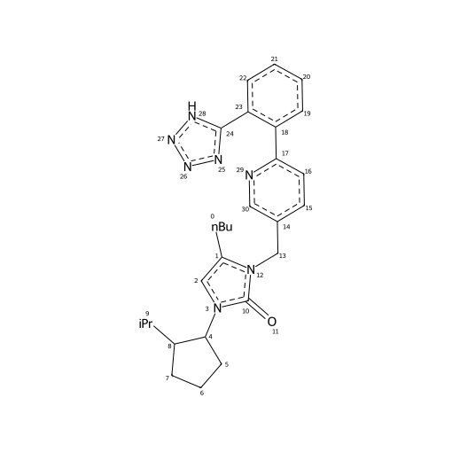 CCCCc1cn(C2CCCC2C(C)C)c(=O)n1Cc1ccc(-c2ccccc2-c2nnn[nH]2)nc1